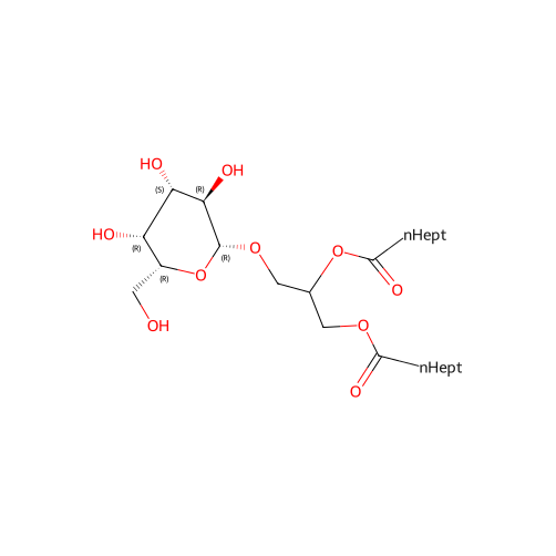 CCCCCCCC(=O)OCC(CO[C@@H]1O[C@H](CO)[C@H](O)[C@H](O)[C@H]1O)OC(=O)CCCCCCC